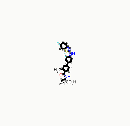 Cc1cc(-c2ccc(Nc3nc4ccc(F)cc4s3)c(F)c2)ccc1C(=O)N[C@@H](CC(C)C)C(=O)O